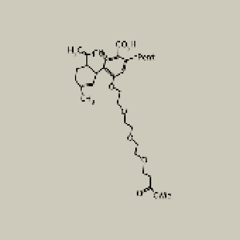 C=C(C)C1CCC(C)=CC1c1c(OCCOCCOCCOCCC(=O)OC)cc(CCCCC)c(C(=O)O)c1O